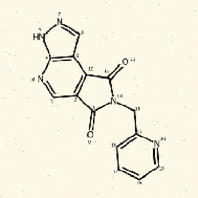 O=C1c2cnc3[nH]ncc3c2C(=O)N1Cc1ccccn1